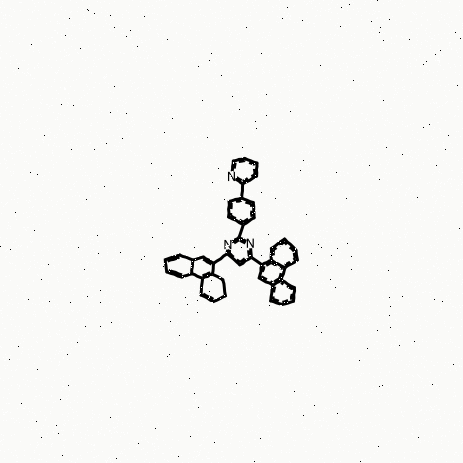 C1=CC2C=C(c3cc(-c4cc5ccccc5c5ccccc45)nc(-c4ccc(-c5ccccn5)cc4)n3)C3=C(C=CCC3)C2C=C1